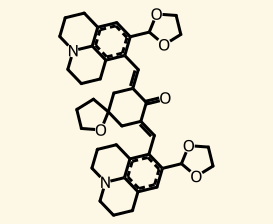 O=C1/C(=C/c2c(C3OCCO3)cc3c4c2CCCN4CCC3)CC2(CCCO2)C/C1=C\c1c(C2OCCO2)cc2c3c1CCCN3CCC2